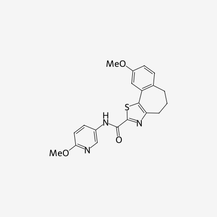 COc1ccc2c(c1)-c1sc(C(=O)Nc3ccc(OC)nc3)nc1CCC2